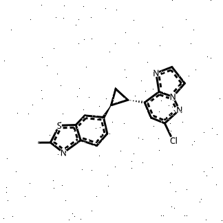 Cc1nc2ccc([C@H]3C[C@@H]3c3cc(Cl)nn4ccnc34)cc2s1